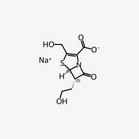 O=C([O-])C1=C(CO)S[C@@H]2[C@@H](CCO)C(=O)N12.[Na+]